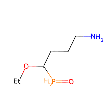 CCO[C](CCCN)[PH2]=O